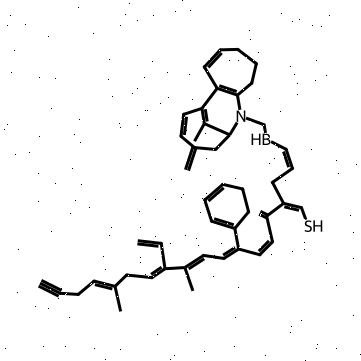 C#CC/C=C(\C)C/C=C(C=C)/C(C)=C/C=C(/C=C\C(=C)/C(=C\S)C/C=C\BCN1C2=C(C=CCCC2)C2=C(C)C1CC(=C)C=C2)C1=CC=CCC1